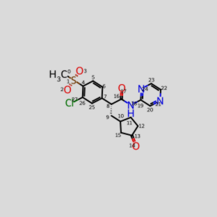 CS(=O)(=O)c1ccc([C@@H](CC2CCC(=O)C2)C(=O)Nc2cnccn2)cc1Cl